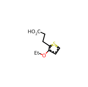 CCOc1ccsc1CCC(=O)O